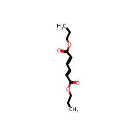 CCCOC(=O)C=CC=CC(=O)OCCC